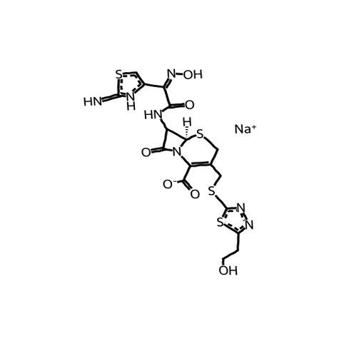 N=c1[nH]c(/C(=N/O)C(=O)NC2C(=O)N3C(C(=O)[O-])=C(CSc4nnc(CCO)s4)CS[C@H]23)cs1.[Na+]